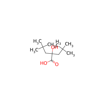 CC(C)(C)CC(O)(CC(C)(C)C)C(=O)O